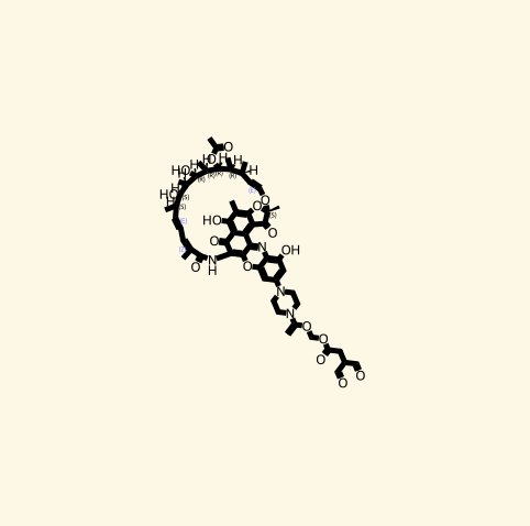 C=C(OCOC(=O)CC(C=O)C=O)N1CCN(c2cc(O)c3nc4c5c6c7c(C)c(O)c5c(=O)c(c-4oc3c2)NC(=O)/C(C)=C\C=C\[C@H](C)[C@H](O)[C@@H](C)[C@@H](O)[C@@H](C)[C@H](OC(C)=O)[C@H](C)[C@@H](C)/C=C/O[C@@](C)(O7)C6=O)CC1